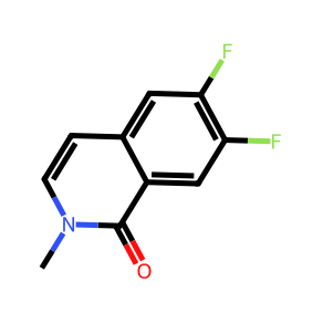 Cn1ccc2cc(F)c(F)cc2c1=O